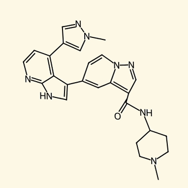 CN1CCC(NC(=O)c2cnn3ccc(-c4c[nH]c5nccc(-c6cnn(C)c6)c45)cc23)CC1